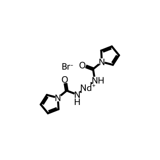 O=C([NH][Nd+][NH]C(=O)n1cccc1)n1cccc1.[Br-]